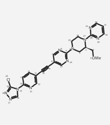 COC[C@H]1CN(c2ncc(C#Cc3ccc(-n4cnnc4Cl)nc3)cn2)CCN1c1ncccn1